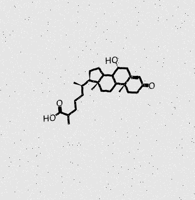 CC(CCC[C@@H](C)[C@H]1CCC2C3C(CC[C@@]21C)[C@@]1(C)CCC(=O)C=C1C[C@H]3O)C(=O)O